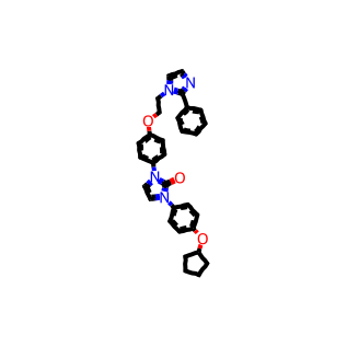 O=c1n(-c2ccc(OCCn3ccnc3-c3ccccc3)cc2)ccn1-c1ccc(OC2CCCC2)cc1